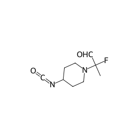 CC(F)(C=O)N1CCC(N=C=O)CC1